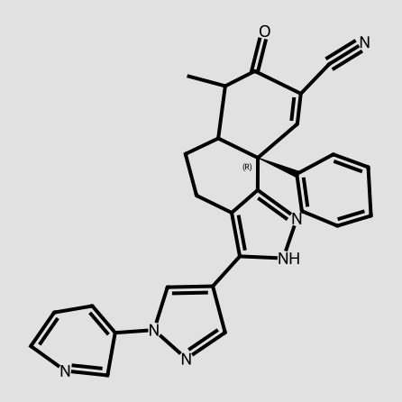 CC1C(=O)C(C#N)=C[C@]2(c3ccccc3)c3n[nH]c(-c4cnn(-c5cccnc5)c4)c3CCC12